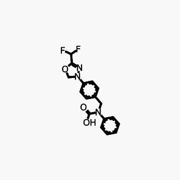 O=C(O)N(Cc1ccc(N2COC(C(F)F)=N2)cc1)c1ccccc1